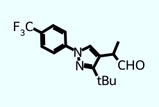 CC(C=O)c1cn(-c2ccc(C(F)(F)F)cc2)nc1C(C)(C)C